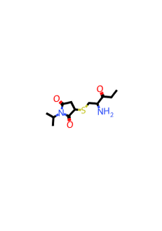 CCC(=O)C(N)CSC1CC(=O)N(C(C)C)C1=O